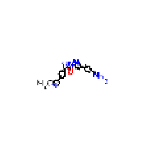 Cc1cc(-c2ccc(CC(=O)Nc3ccc(-c4ccc(CN)cc4)cn3)cc2)ccn1